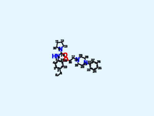 CCc1ccc(NC(=O)N2CCCC2)c(OCCN2CCN(c3ccccc3)CC2)c1